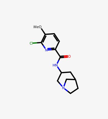 COc1ccc(C(=O)NC2CC3CCN(C3)C2)nc1Cl